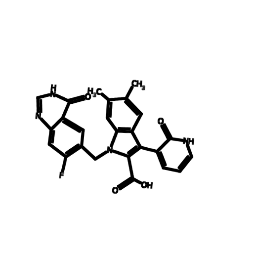 Cc1cc2c(-c3ccc[nH]c3=O)c(C(=O)O)n(Cc3cc4c(=O)[nH]cnc4cc3F)c2cc1C